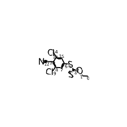 CCOC(=S)Sc1cc(Cl)c(C#N)c(Cl)c1